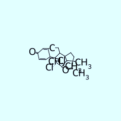 CC(=O)[C@@]1(C)CCC2C3CCC4=CC(=O)C=C[C@]4(C)[C@@]3(Cl)[C@@H](Cl)C[C@@]21C